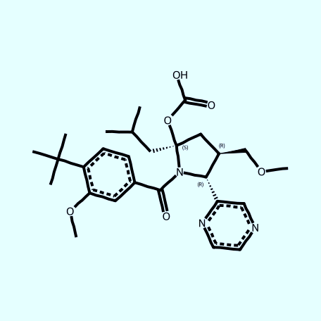 COC[C@@H]1C[C@](CC(C)C)(OC(=O)O)N(C(=O)c2ccc(C(C)(C)C)c(OC)c2)[C@H]1c1cnccn1